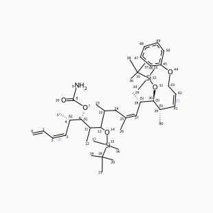 C=C/C=C\[C@H](C)[C@H](OC(N)=O)C(C)C(O[Si](C)(C)C(C)(C)C)C(C)CC(C)=C[C@H](C)[C@@H](O[Si](C)(C)C(C)(C)C)[C@@H](C)/C=C\COc1ccccc1